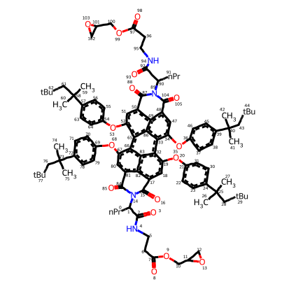 CCCC(C(=O)NCCC(=O)OCC1CO1)N1C(=O)c2cc(Oc3ccc(C(C)(C)CC(C)(C)C)cc3)c3c4c(Oc5ccc(C(C)(C)CC(C)(C)C)cc5)cc5c6c(cc(Oc7ccc(C(C)(C)CC(C)(C)C)cc7)c(c7c(Oc8ccc(C(C)(C)CC(C)(C)C)cc8)cc(c2c37)C1=O)c64)C(=O)N(C(CCC)C(=O)NCCC(=O)OCC1CO1)C5=O